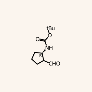 CC(C)(C)OC(=O)N[C@@H]1CCCC1C=O